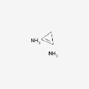 C1=CC1.N.N